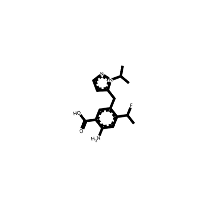 CC(F)c1cc(N)c(C(=O)O)cc1Cc1ccnn1C(C)C